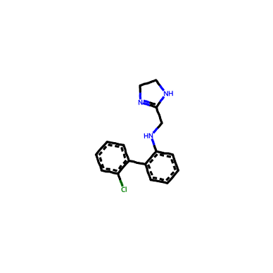 Clc1ccccc1-c1ccccc1NCC1=NCCN1